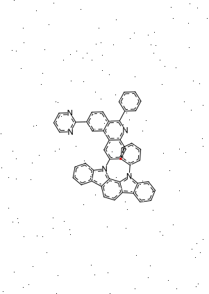 c1ccc(-c2nc3ccc(-n4c5ccccc5c5ccc6c7ccccc7n(-c7ccccc7)c6c54)cc3c3cc(-c4ncccn4)ccc23)cc1